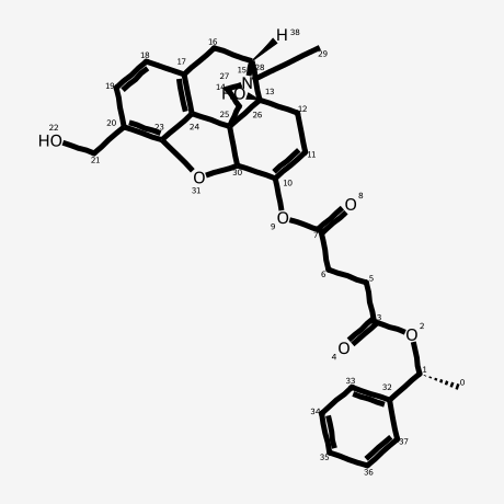 C[C@@H](OC(=O)CCC(=O)OC1=CC[C@@]2(O)[C@H]3Cc4ccc(CO)c5c4C2(CCN3C)C1O5)c1ccccc1